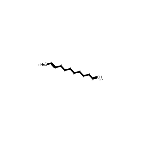 [CH2]CCCCCC=CCCCCCCCC=C